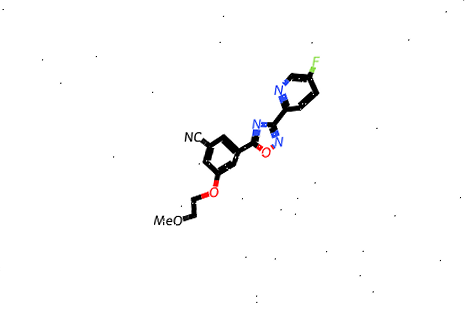 COCCOc1cc(C#N)cc(-c2nc(-c3ccc(F)cn3)no2)c1